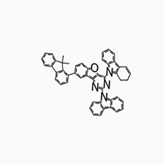 CC1(C)c2ccccc2-c2cccc(-c3ccc4oc5c(-n6c7c(c8ccccc86)C=CCC7)nc(-n6c7ccccc7c7ccccc76)nc5c4c3)c21